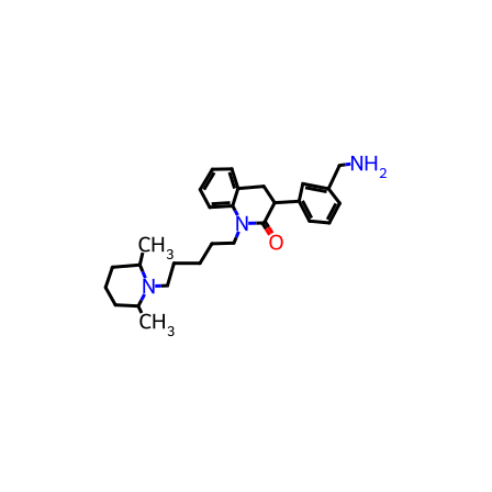 CC1CCCC(C)N1CCCCCN1C(=O)C(c2cccc(CN)c2)Cc2ccccc21